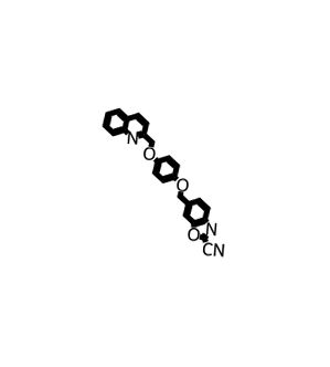 N#Cc1nc2ccc(COc3ccc(OCc4ccc5ccccc5n4)cc3)cc2o1